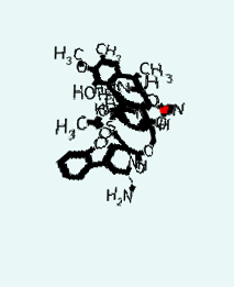 COc1c(C)cc2c(c1O)[C@H]1N[C@@H](C2C)[C@H](C#N)N2[C@H]1[C@@H]1SC[C@]3(N[C@H](CN)Cc4c3oc3ccccc43)C(=O)OC[C@H]2c2c3c(c(C)c(OC(C)=O)c21)OCO3